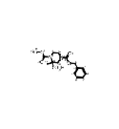 CC(C)(C)OC(=O)N1CCN(C(=O)OCc2ccccc2)C[C@@]1(C)C(=O)O